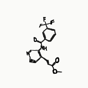 COC(=O)C=Cc1ccncc1NC(=O)c1cccc(C(F)(F)F)c1